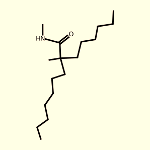 CCCCCCCC(C)(CCCCCC)C(=O)NC